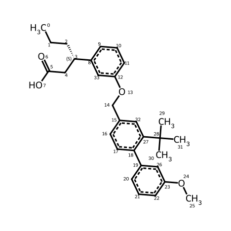 CCC[C@@H](CC(=O)O)c1cccc(OCc2ccc(-c3cccc(OC)c3)c(C(C)(C)C)c2)c1